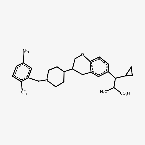 CC(C(=O)O)C(c1ccc2c(c1)CC(C1CCN(Cc3cc(C(F)(F)F)ccc3C(F)(F)F)CC1)CO2)C1CC1